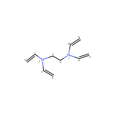 C=CN(C=C)CCN(C=C)C=C